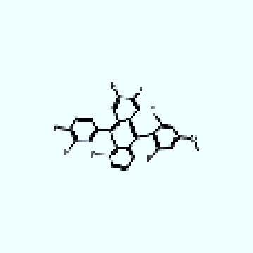 COc1cc(F)c(-c2c3cc(F)c(F)cc3c(-c3ccc(F)c(F)c3)c3c(F)cccc23)c(F)c1